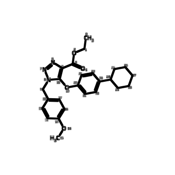 CCOC(=O)c1nnn(Cc2ccc(OC)cc2)c1Oc1ccc(C2CCCCC2)cc1